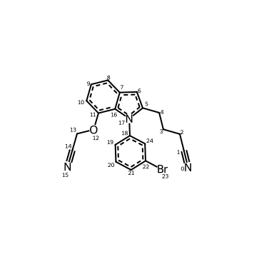 N#CCCCc1cc2cccc(OCC#N)c2n1-c1cccc(Br)c1